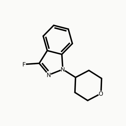 Fc1nn(C2CCOCC2)c2ccccc12